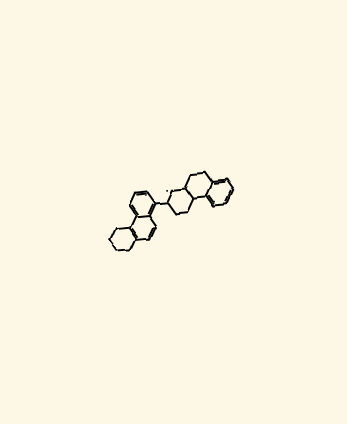 [CH]1C(c2cccc3c4c(ccc23)CCCC4)CCC2c3ccccc3CCC12